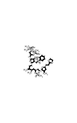 C=C1C[C@H](CCC2OCCO2)O[C@H]1CC[C@H](C[C@H](C)C(=C)CC[C@@H]1O[C@H](CC(CO[Si](C)(C)C(C)(C)C)O[Si](C)(C)C(C)(C)C)C(OC)[C@H]1CS(=O)(=O)c1ccccc1)OS(C)(=O)=O